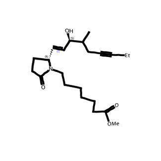 CCC#CCC(C)[C@H](O)/C=C/[C@H]1CCC(=O)N1CCCCCCC(=O)OC